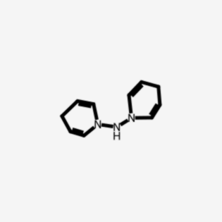 C1=CN(NN2C=CCC=C2)C=CC1